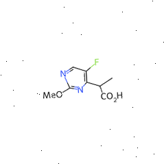 COc1ncc(F)c(C(C)C(=O)O)n1